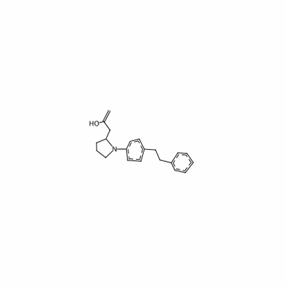 C=C(O)CC1CCCN1c1ccc(CCc2ccccc2)cc1